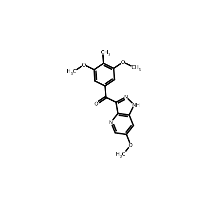 COc1cnc2c(C(=O)c3cc(OC)c(C)c(OC)c3)n[nH]c2c1